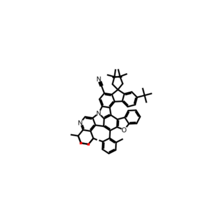 Cc1cccc(C)c1-c1c2oc3ccccc3c2c2c3c4c(c(C#N)cc3n3c5cnc6c(c5c1c23)C1(C)CCC6(C)CC1)C(CC(C)(C)C)(CC(C)(C)C)c1cc(C(C)(C)C)ccc1-4